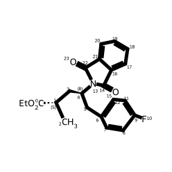 CCOC(=O)[C@@H](C)C[C@H](Cc1ccc(F)cc1)N1C(=O)c2ccccc2C1=O